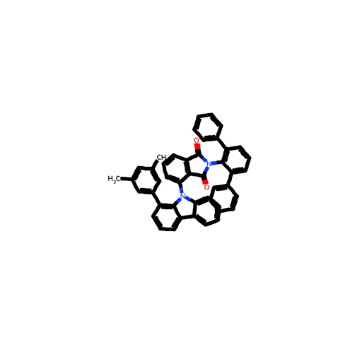 Cc1cc(C)cc(-c2cccc3c4ccccc4n(-c4cccc5c4C(=O)N(c4c(-c6ccccc6)cccc4-c4ccccc4)C5=O)c23)c1